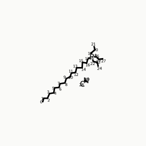 CCCCCCCCCCCCCCCCCC[P+](CCC)(CCC)CCC.[C-]#N